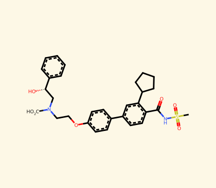 CS(=O)(=O)NC(=O)c1ccc(-c2ccc(OCCN(C[C@H](O)c3ccccc3)C(=O)O)cc2)cc1C1CCCC1